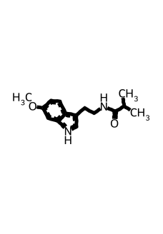 COc1ccc2c(CCNC(=O)C(C)C)c[nH]c2c1